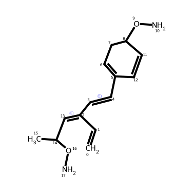 C=CC(/C=C/C1=CCC(ON)C=C1)=C\C(C)ON